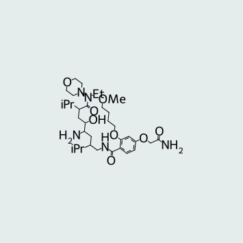 CCN(C(=O)C(CC(O)C(N)CC(CNC(=O)c1ccc(OCC(N)=O)cc1OCCCCOC)C(C)C)C(C)C)N1CCOCC1